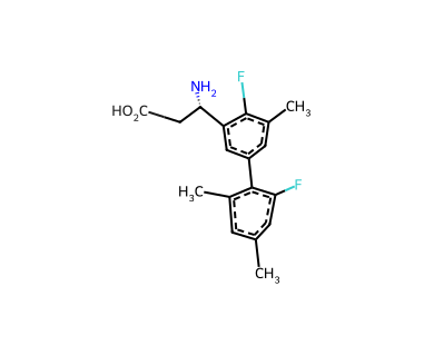 Cc1cc(C)c(-c2cc(C)c(F)c([C@@H](N)CC(=O)O)c2)c(F)c1